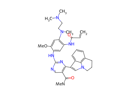 C=CC(=O)Nc1cc(Nc2ncc(C(=O)NC)c(-c3cn4c5c(cccc35)CCC4)n2)c(OC)cc1N(C)CCN(C)C